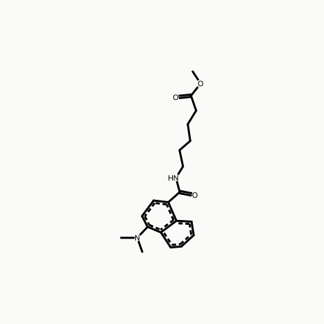 COC(=O)CCCCCNC(=O)c1ccc(N(C)C)c2ccccc12